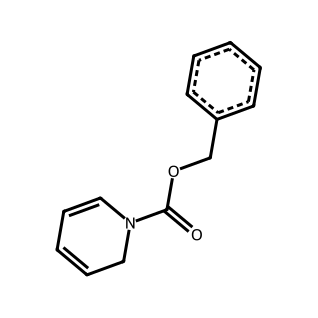 O=C(OCc1ccccc1)N1C=CC=CC1